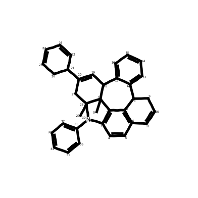 CC12c3c4ccc5c3C(CC=C5)c3ccccc3C1C=C(C1C=CC=CC1)CC2(C)N4c1ccccc1